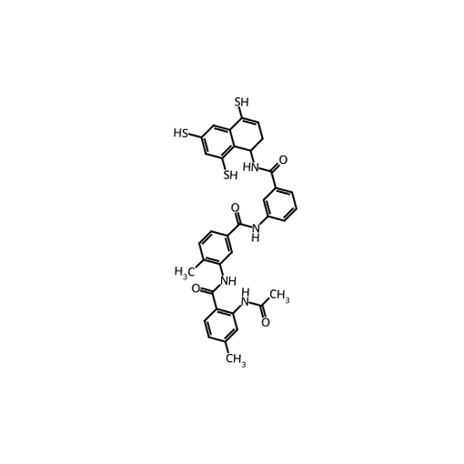 CC(=O)Nc1cc(C)ccc1C(=O)Nc1cc(C(=O)Nc2cccc(C(=O)NC3CC=C(S)c4cc(S)cc(S)c43)c2)ccc1C